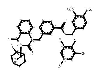 COc1ccc([C@H](Cc2c(Cl)c[n+]([O-])cc2Cl)OC(=O)c2cccc(CN(C(=O)O[C@H]3CN4CCC3CC4)c3ccccc3C(F)F)c2)cc1OC